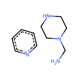 NCN1CCNCC1.c1ccncc1